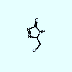 O=C1N=NC(CCl)N1